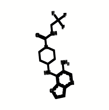 Nc1cnc2ccoc2c1NC1CCN(C(=O)NCC(F)(F)F)CC1